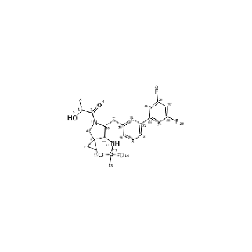 CC(O)C(=O)N1CC2(CC2)C(NS(C)(=O)=O)C1Cc1cccc(-c2cc(F)cc(F)c2)c1